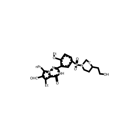 CCCc1c(C=O)c(CC)c2c(=O)[nH]c(-c3cc(S(=O)(=O)N4CCC(CCO)CC4)ccc3OCC)nn12